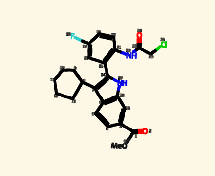 COC(=O)c1ccc2c(C3CCCCC3)c(-c3cc(F)ccc3NC(=O)CCl)[nH]c2c1